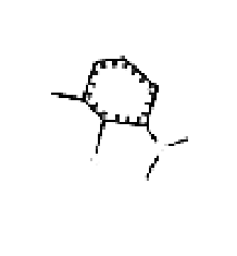 [CH2]c1cccc(N(C)C)c1[N+](=O)[O-]